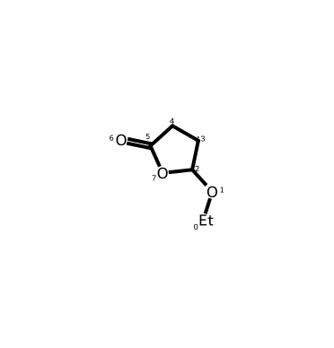 CCOC1[CH]CC(=O)O1